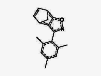 Cc1cc(C)c(-c2noc3c2=C2C=CC=3C2)c(C)c1